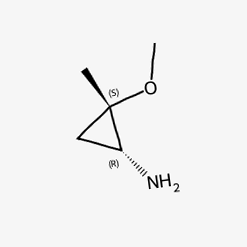 CO[C@@]1(C)C[C@H]1N